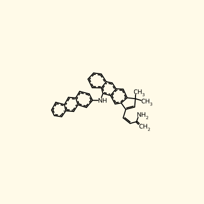 C=C(N)/C=C\C1=CC(C)(C)c2cc3cc4ccccc4c(Nc4ccc5cc6ccccc6cc5c4)c3cc21